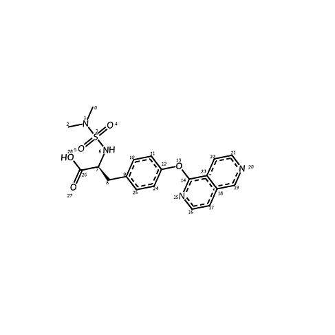 CN(C)S(=O)(=O)N[C@@H](Cc1ccc(Oc2nccc3cnccc23)cc1)C(=O)O